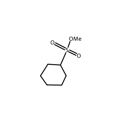 COS(=O)(=O)C1CCCCC1